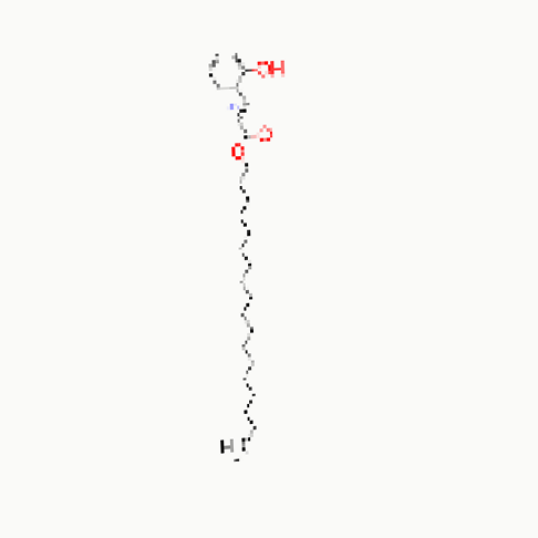 CCCCCCCCCCCCCCCCCCOC(=O)/C=C/c1ccccc1O